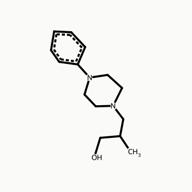 CC(CO)CN1CCN(c2ccccc2)CC1